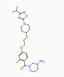 Cc1cc(OCCCC2CCN(c3nc(C(C)C)no3)CC2)ccc1C(=O)N1CCCC(N)C1